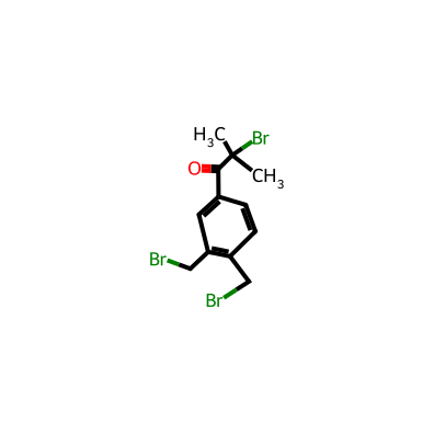 CC(C)(Br)C(=O)c1ccc(CBr)c(CBr)c1